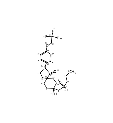 CCCS(=O)(=O)CC1(O)CCC2(CCN(c3ccc(OCC(F)(F)F)cc3)C2=O)CC1